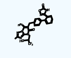 CCCc1c(Cc2ccc(-c3ccccc3-c3noc(=O)[nH]3)cc2)c(=O)n(CC(O)C(F)(F)F)c2nc(C)nn12